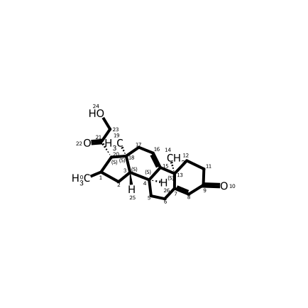 CC1C[C@H]2[C@@H]3CCC4=CC(=O)CC[C@]4(C)C3=CC[C@]2(C)[C@H]1C(=O)CO